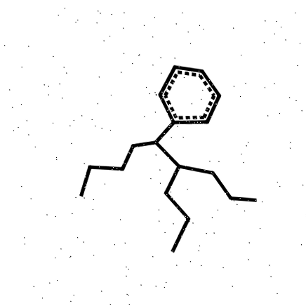 CCCCC(c1[c]cccc1)C(CCC)CCC